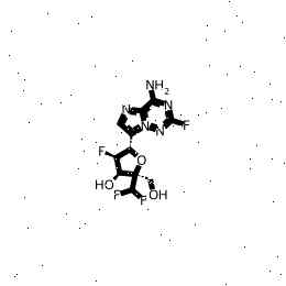 Nc1nc(F)nn2c([C@@H]3O[C@@](CO)(C(F)F)[C@@H](O)[C@H]3F)cnc12